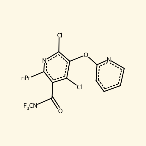 CCCc1nc(Cl)c(Oc2ccccn2)c(Cl)c1C(=O)NC(F)(F)F